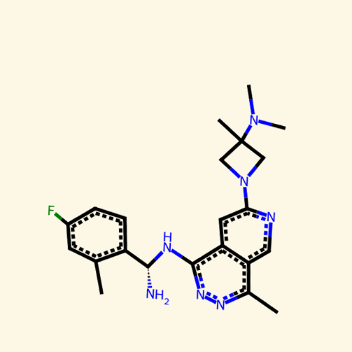 Cc1cc(F)ccc1[C@@H](N)Nc1nnc(C)c2cnc(N3CC(C)(N(C)C)C3)cc12